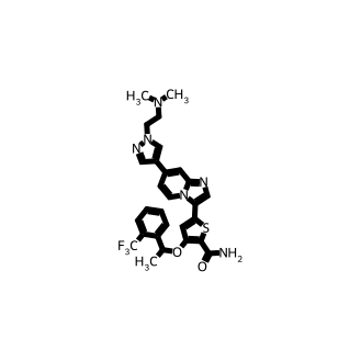 CC(Oc1cc(-c2cnc3cc(-c4cnn(CCN(C)C)c4)ccn23)sc1C(N)=O)c1ccccc1C(F)(F)F